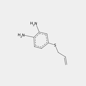 C=CCSc1ccc(N)c(N)c1